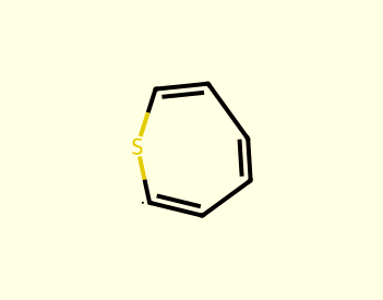 [C]1=CC=CC=CS1